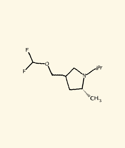 CC(C)N1CC(COC(F)F)C[C@H]1C